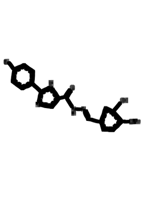 COc1ccc(C=NNC(=O)c2cnc(-c3ccc(Cl)cc3)[nH]2)cc1O